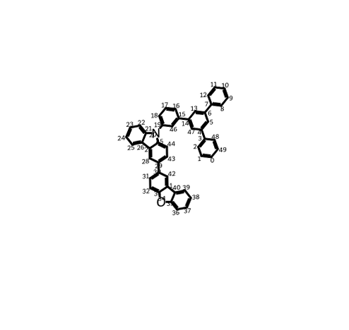 c1ccc(-c2cc(-c3ccccc3)cc(-c3cccc(-n4c5ccccc5c5cc(-c6ccc7oc8ccccc8c7c6)ccc54)c3)c2)cc1